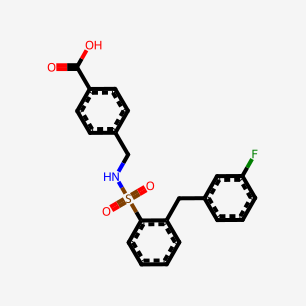 O=C(O)c1ccc(CNS(=O)(=O)c2ccccc2Cc2cccc(F)c2)cc1